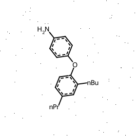 CCCCc1cc(CCC)ccc1Oc1ccc(N)cc1